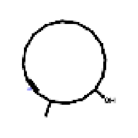 CC1/C=C\CCCCCCCCCCC(O)CC1